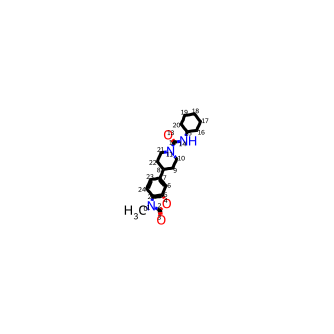 Cn1c(=O)oc2cc(C3CCN(C(=O)NC4CCCCC4)CC3)ccc21